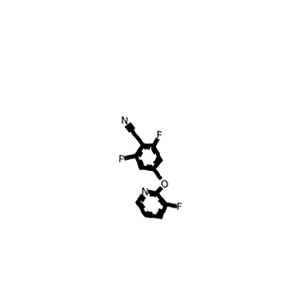 N#Cc1c(F)cc(Oc2ncccc2F)cc1F